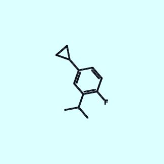 C[C](C)c1cc(C2CC2)ccc1F